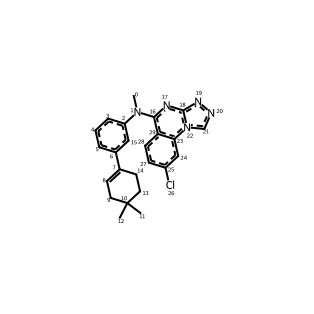 CN(c1cccc(C2=CCC(C)(C)CC2)c1)c1nc2nncn2c2cc(Cl)ccc12